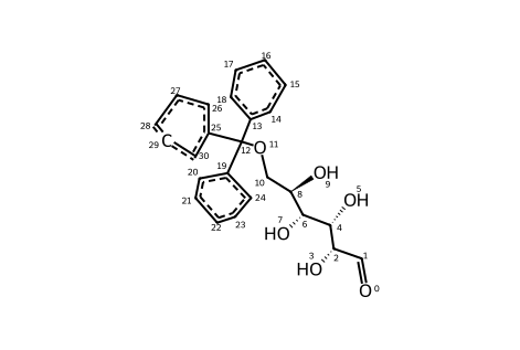 O=C[C@H](O)[C@@H](O)[C@H](O)[C@H](O)COC(c1ccccc1)(c1ccccc1)c1ccccc1